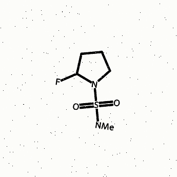 CNS(=O)(=O)N1CCCC1F